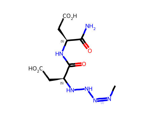 C/N=N\NN[C@@H](CC(=O)O)C(=O)N[C@@H](CC(=O)O)C(N)=O